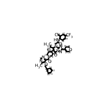 Cc1ncnc(C(=O)N2CCC3(CC2)OC(C)c2c3c(=O)n3nc(C4=CCOCC4)nc3n2CC(=O)Nc2ccc(C(F)(F)F)cc2Cl)c1OCc1ccccc1